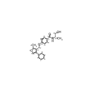 Cc1onc(-c2ccccc2)c1COc1ccc(C(=O)N[C@@H](C)CO)cn1